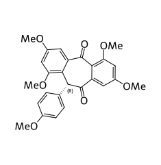 COc1ccc([C@H]2C(=O)c3cc(OC)cc(OC)c3C(=O)c3cc(OC)cc(OC)c32)cc1